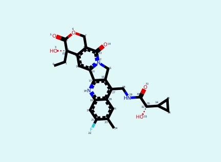 CC[C@@]1(O)C(=O)OCc2c1cc1n(c2=O)Cc2c-1nc1cc(F)c(C)cc1c2CNC(=O)[C@@H](O)C1CC1